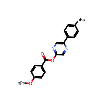 CCCCc1ccc(-c2cnc(OC(=O)c3ccc(OCCC)cc3)cn2)cc1